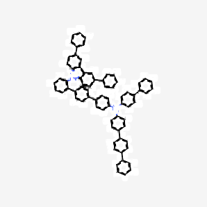 c1ccc(-c2ccc(-c3ccc(N(c4ccc(-c5ccccc5)cc4)c4ccc(-c5ccc(-c6ccccc6-n6c7ccc(-c8ccccc8)cc7c7cc(-c8ccccc8)ccc76)cc5)cc4)cc3)cc2)cc1